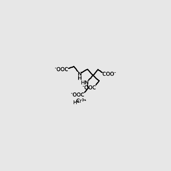 O=C([O-])CNCC(CC(=O)[O-])(CC(=O)[O-])NCC(=O)[O-].[Cr+3].[H+]